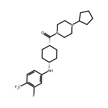 O=C([C@H]1CC[C@@H](Nc2ccc(C(F)(F)F)c(F)c2)CC1)N1CCN(C2CCCC2)CC1